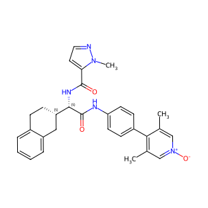 Cc1c[n+]([O-])cc(C)c1-c1ccc(NC(=O)[C@@H](NC(=O)c2ccnn2C)[C@H]2CCc3ccccc3C2)cc1